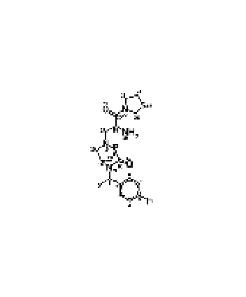 CC(c1ccc(F)cc1)N1C(=O)C2CC1CN2CC(N)C(=O)N1CCSC1